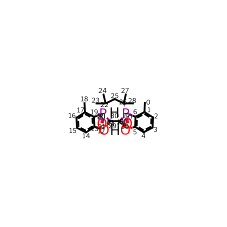 Cc1cccc2c1[P@@]1(=O)[C@H](O2)[C@H]2Oc3cccc(C)c3[P@]2(=O)C(C)(C)CC1(C)C